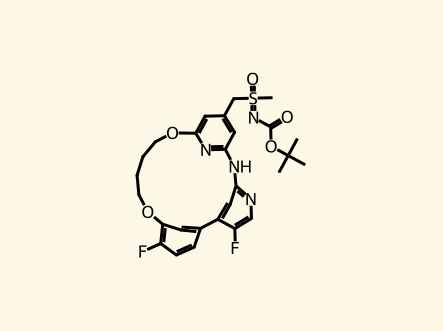 CC(C)(C)OC(=O)N=S(C)(=O)Cc1cc2nc(c1)OCCCCOc1cc(ccc1F)-c1cc(ncc1F)N2